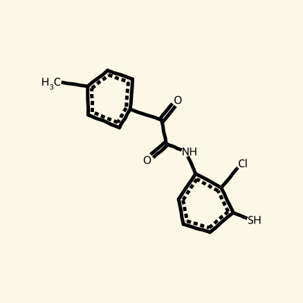 Cc1ccc(C(=O)C(=O)Nc2cccc(S)c2Cl)cc1